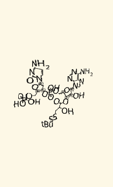 CC(C)(C)SSCC(O)C(=O)O[C@H]1[C@@H](O)[C@H](n2cnc3c(N)ncnc32)O[C@@H]1COP(=O)(O)O[C@H]1C[C@H](n2ccc(N)nc2=O)O[C@@H]1COP(=O)(O)O